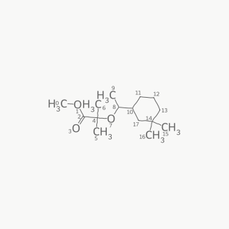 COC(=O)C(C)(C)OC(C)C1CCCC(C)(C)C1